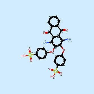 Nc1c(Oc2ccc(S(=O)(=O)O)cc2)c(Oc2ccc(S(=O)(=O)O)cc2)c(N)c2c1C(=O)c1ccccc1C2=O